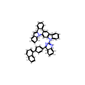 c1ccc2c(-c3ccc(-c4nc(-n5c6ccccc6c6cc7c8ccccc8c8cc9ccccc9n8c7cc65)nc5ccccc45)cc3)cccc2c1